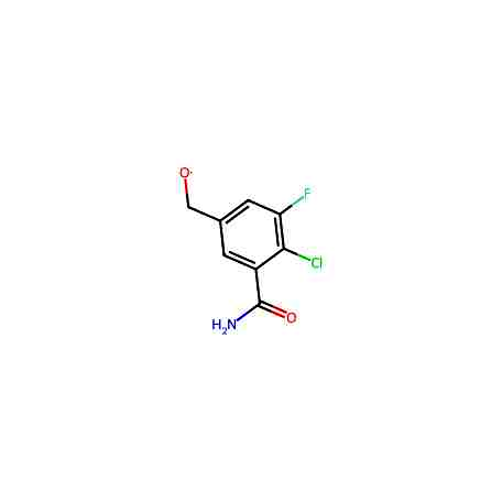 NC(=O)c1cc(C[O])cc(F)c1Cl